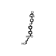 CCc1cnc(N2CCC(COc3ccc(C4=CCC(C(=O)NCCCCCO)CC4)cc3)CC2)nc1